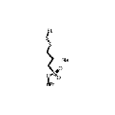 CCCOS(=O)(=O)CCCSSCC.[Na]